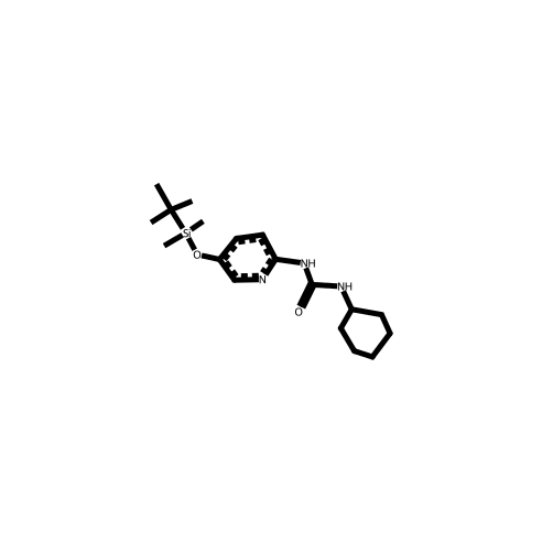 CC(C)(C)[Si](C)(C)Oc1ccc(NC(=O)NC2CCCCC2)nc1